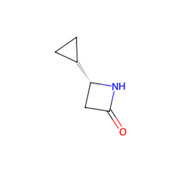 O=C1C[C@H](C2CC2)N1